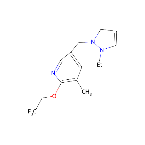 CCN1C=CCN1Cc1cnc(OCC(F)(F)F)c(C)c1